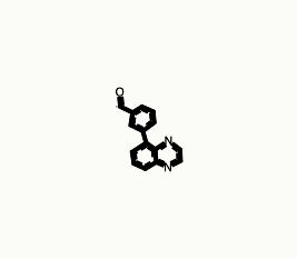 O=[C]c1cccc(-c2cccc3nccnc23)c1